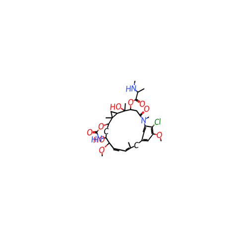 CNC(C)C(=O)OC1CC(=O)N(C)c2cc(cc(OC)c2Cl)C/C(C)=C/C=C/C(OC)C2(O)CC(OC(=O)N2)C2(C)CC2C1(C)O